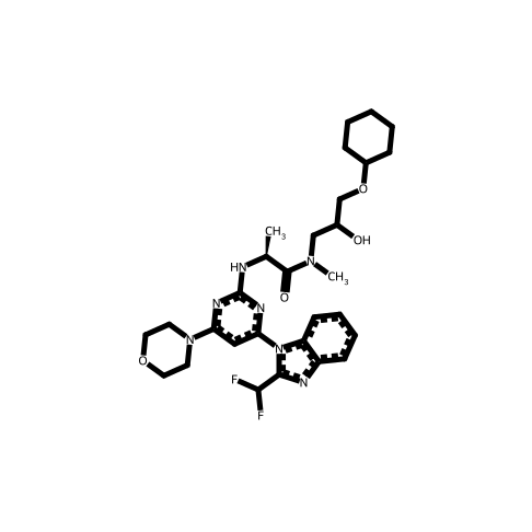 C[C@H](Nc1nc(N2CCOCC2)cc(-n2c(C(F)F)nc3ccccc32)n1)C(=O)N(C)CC(O)COC1CCCCC1